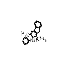 Cc1cc2c(c(C)c1Nc1ccccc1)Cc1ccccc1-2